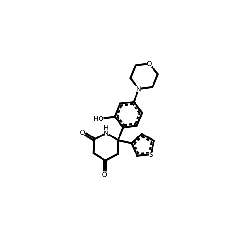 O=C1CC(=O)NC(c2ccsc2)(c2ccc(N3CCOCC3)cc2O)C1